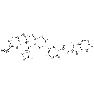 O=C(O)c1ccc2nc(CN3CCC(c4cccc(OCc5cc6ccccc6o5)n4)CC3)n(C[C@@H]3CCO3)c2c1